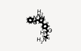 CC(C)(N)CNC(=O)c1ccc(-c2cnc(N)c(-c3nc4ccccc4o3)c2)cc1